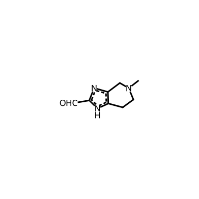 CN1CCc2[nH]c(C=O)nc2C1